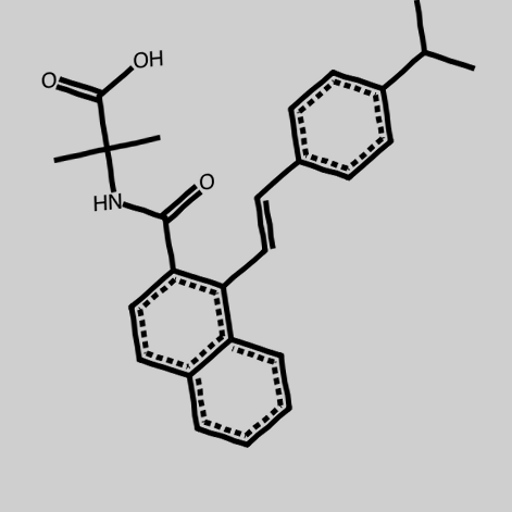 CC(C)c1ccc(/C=C/c2c(C(=O)NC(C)(C)C(=O)O)ccc3ccccc23)cc1